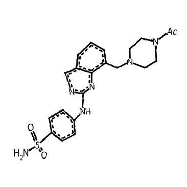 CC(=O)N1CCN(Cc2cccc3cnc(Nc4ccc(S(N)(=O)=O)cc4)nc23)CC1